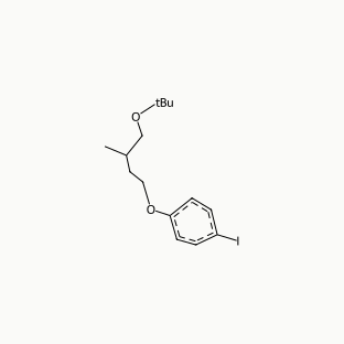 CC(CCOc1ccc(I)cc1)COC(C)(C)C